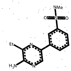 CCc1nc(-c2cccc(S(=O)(=O)NC)c2)cnc1N